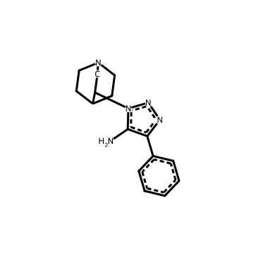 Nc1c(-c2ccccc2)nnn1C1CN2CCC1CC2